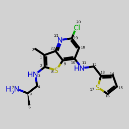 Cc1c(NC[C@@H](C)N)sc2c(NCc3cccs3)cc(Cl)nc12